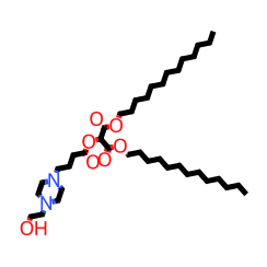 CCCCCCCCCCCCCOC(=O)C(OC(=O)CCCN1CCN(CCO)CC1)C(=O)OCCCCCCCCCCCCC